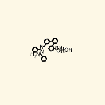 CC(C)(O)C(C)(C)OBc1ccccc1-c1ccccc1-c1cccc(C/N=C(\N=C(/N)c2ccccc2)c2ccccc2)c1